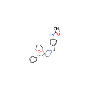 CC(=O)Nc1ccc(CN2CCC(CCc3ccccc3)(C3CCCCO3)C2)cc1